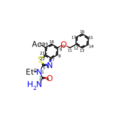 CCN(C(N)=O)c1nc2cc(OCc3ccccc3)cc(C(C)=O)c2s1